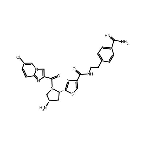 N=C(N)c1ccc(CCNC(=O)c2csc([C@@H]3C[C@@H](N)CN3C(=O)c3cn4cc(Cl)ccc4n3)n2)cc1